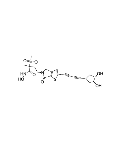 CC(CCN1Cc2cc(C#CC#CC3C[C@@H](O)[C@@H](O)C3)sc2C1=O)(C(=O)NO)S(C)(=O)=O